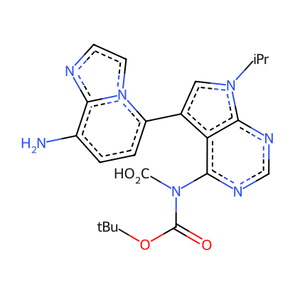 CC(C)n1cc(-c2ccc(N)c3nccn23)c2c(N(C(=O)O)C(=O)OC(C)(C)C)ncnc21